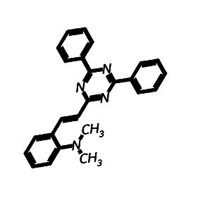 CN(C)c1ccccc1/C=C/c1nc(-c2ccccc2)nc(-c2ccccc2)n1